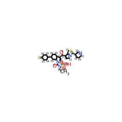 CCN(C(=O)n1cc(C(=O)c2ccn3c2CSC3c2cccnc2)c2ccc(-c3ccc(F)cc3)cc21)S(=O)(=O)O